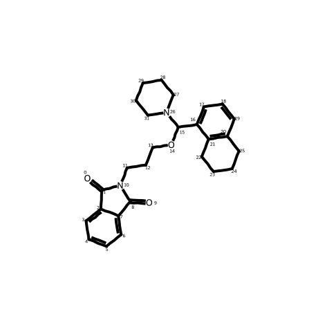 O=C1c2ccccc2C(=O)N1CCCOC(c1cccc2c1CCCC2)N1CCCCC1